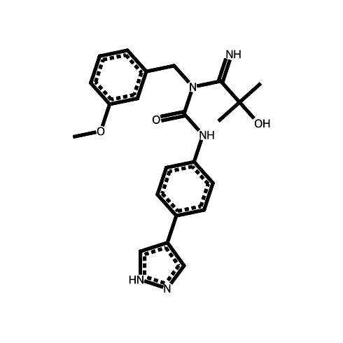 COc1cccc(CN(C(=N)C(C)(C)O)C(=O)Nc2ccc(-c3cn[nH]c3)cc2)c1